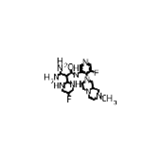 CN1CCN2CCN(c3c(F)cncc3NC(=O)C(C(N)N)C3NCC(F)CN3)CC2C1